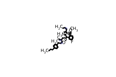 C=C/C=C\c1cnc(C(c2cc(F)ccc2OCOC)N(C=O)CC(/C=C\C(=C)c2ccc(CCCC)cc2)=C\C)[nH]1